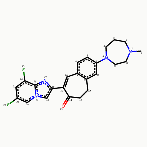 CN1CCCN(c2ccc3c(c2)CCC(=O)C(c2cn4cc(F)cc(F)c4n2)=C3)CC1